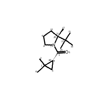 CC1(C)C[C@H]1C(=O)N1CCC[C@]1(C)C(C)(C)C